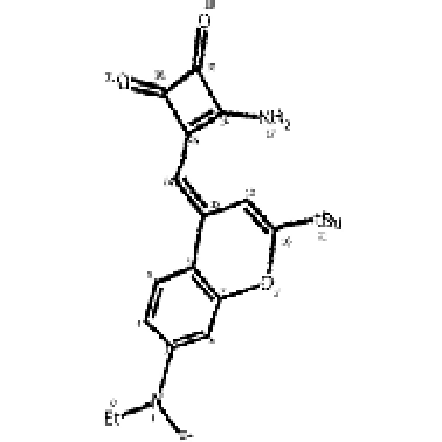 CCN(CC)c1ccc2c(c1)OC(C(C)(C)C)=CC2=Cc1c(N)c(=O)c1=O